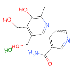 Cc1ncc(CO)c(CO)c1O.Cl.NC(=O)c1cccnc1